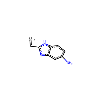 C=Cc1nc2cc(N)ccc2[nH]1